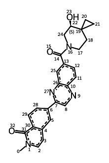 Cn1ccc2cc(-c3cnc4ccc(C(=O)N5CCC6(CC6)[C@H](O)C5)cc4n3)ccc2c1=O